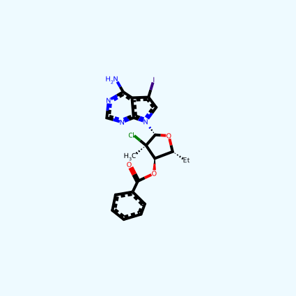 CC[C@H]1O[C@@H](n2cc(I)c3c(N)ncnc32)[C@](C)(Cl)[C@@H]1OC(=O)c1ccccc1